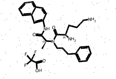 C[C@@H](C(=O)Nc1ccc2ccccc2c1)N(CCCc1ccccc1)C(=O)[C@H](N)CCCN.O=C(O)C(F)(F)F